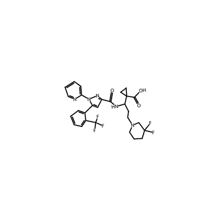 O=C(NC(CCN1CCCC(F)(F)C1)C1(C(=O)O)CC1)c1cc(-c2ccccc2C(F)(F)F)n(-c2ccccn2)n1